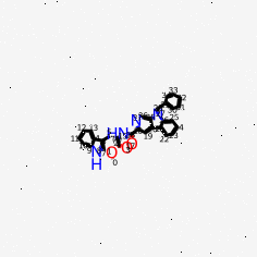 COC(=O)[C@H](Cc1c[nH]c2ccccc12)NC(=O)c1cc2c3ccccc3n(Cc3ccccc3)c2cn1